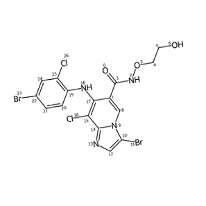 O=C(NOCCO)c1cn2c(Br)cnc2c(Cl)c1Nc1ccc(Br)cc1Cl